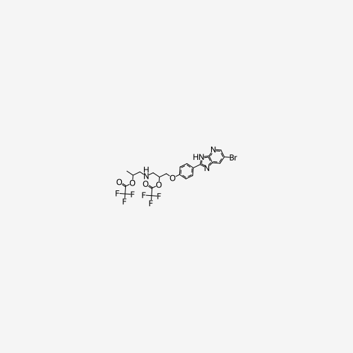 CC(CNCC(COc1ccc(-c2nc3cc(Br)cnc3[nH]2)cc1)OC(=O)C(F)(F)F)OC(=O)C(F)(F)F